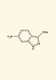 Bc1ccc2c(OC)n[nH]c2c1